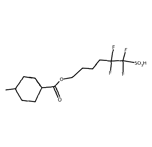 CC1CCC(C(=O)OCCCCC(F)(F)C(F)(F)S(=O)(=O)O)CC1